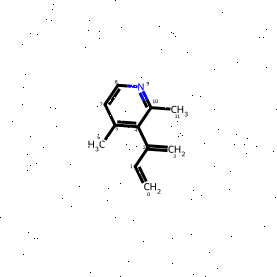 C=CC(=C)c1c(C)ccnc1C